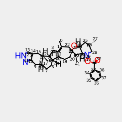 CC1=C2C[C@H]3[C@@H](CC[C@@H]4Cc5n[nH]cc5C[C@@]43C)[C@@H]2CC[C@@]2(C1)O[C@@H]1C[C@H](C)CN(OC(=O)c3ccccc3)[C@H]1[C@H]2C